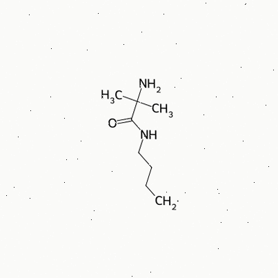 [CH2]CCCNC(=O)C(C)(C)N